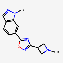 CC(C)n1ncc2ccc(-c3nc(C4CN(C=O)C4)no3)cc21